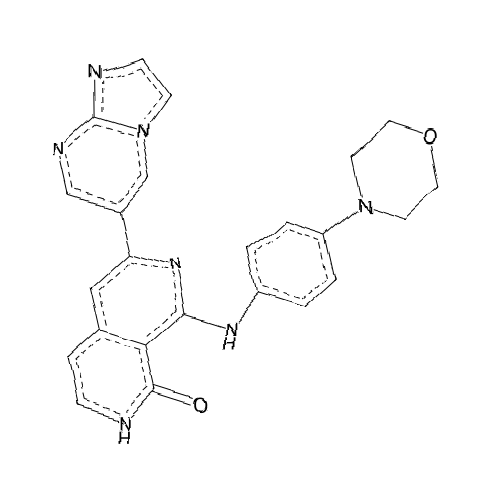 O=c1[nH]ccc2cc(-c3cnc4nccn4c3)nc(Nc3ccc(N4CCOCC4)cc3)c12